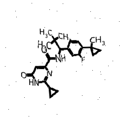 CC1(c2ccc(C(NC(=O)c3cc(=O)[nH]c(C4CC4)n3)C(C)(C)C)cc2F)CC1